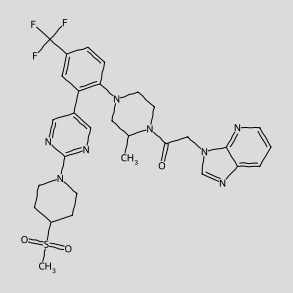 CC1CN(c2ccc(C(F)(F)F)cc2-c2cnc(N3CCC(S(C)(=O)=O)CC3)nc2)CCN1C(=O)Cn1cnc2cccnc21